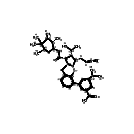 C[C@@H]1[C@@H](NC(=O)[C@@H]2[C@H]([C@H](C)O)[C@H](CN=[N+]=[N-])ON2Cc2cccc(-c3cc(C(=O)O)cc(N(C)C)c3)c2F)C[C@@H](C)C(C)(C)[C@H]1C